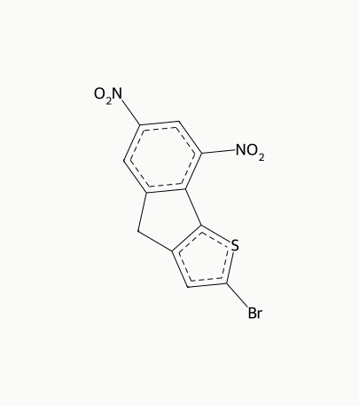 O=[N+]([O-])c1cc2c(c([N+](=O)[O-])c1)-c1sc(Br)cc1C2